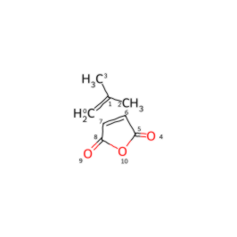 C=C(C)C.O=C1C=CC(=O)O1